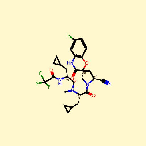 CN(C(=O)[C@H](CC1CC1)NC(=O)C(F)(F)F)[C@@H](CC1CC1)C(=O)N1C[C@@]2(C[C@H]1C#N)Oc1ccc(F)cc1NC2=O